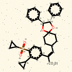 CCOC(=O)C(=CC1CCC2(CC1)O[C@@H](c1ccccc1)[C@H](c1ccccc1)O2)c1ccc(S(=O)(=O)C2CC2)c(C2CC2)c1